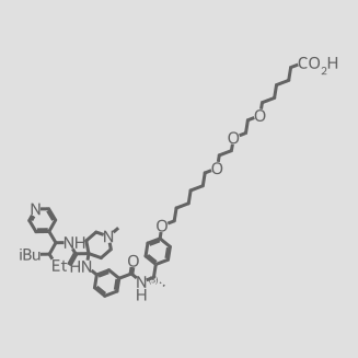 C=C(NC(c1ccncc1)C(CC)C(C)CC)C1(Nc2cccc(C(=O)N[C@@H](C)c3ccc(OCCCCCCOCCOCCOCCCCCC(=O)O)cc3)c2)CCN(C)CC1